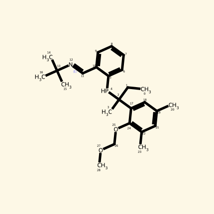 CCC(C)(Pc1ccccc1/C=N/C(C)(C)C)c1cc(C)cc(C)c1OCOC